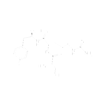 N=C(N)NCCC[C@H](NC(=O)[C@@H](N)CO)C(=O)N[C@@H](Cc1ccc(O)cc1)C(=O)O